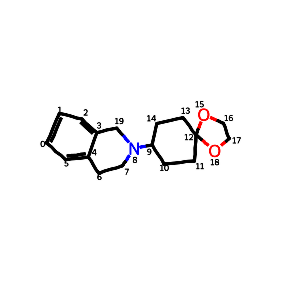 c1ccc2c(c1)CCN(C1CCC3(CC1)OCCO3)C2